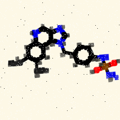 COc1cc2ncc3ncn(Cc4ccc(NS(N)(=O)=O)cc4)c3c2cc1OC